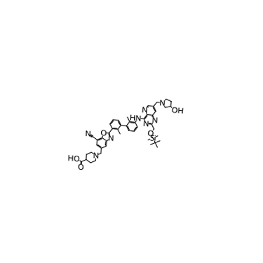 Cc1c(Nc2nc(CO[Si](C)(C)C(C)(C)C)nc3cc(CN4CCC(O)C4)cnc23)cccc1-c1cccc(-c2nc3cc(CN4CCC(C(=O)O)CC4)cc(C#N)c3o2)c1C